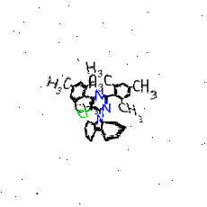 Cc1cc(C)c(-c2nc(-c3c(C)cc(C)cc3C)c(Cl)c(-n3c4ccccc4c4ccccc43)n2)c(C)c1